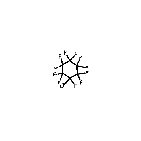 FC1(F)C(F)(F)C(F)(F)C(F)(Cl)C(F)(F)C1(F)F